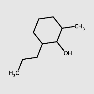 CCCC1CCCC(C)C1O